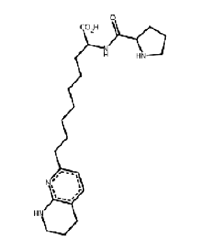 O=C(O)C(CCCCCCCc1ccc2c(n1)NCCC2)NC(=O)C1CCCN1